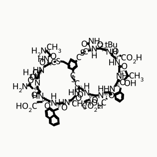 CC(CO)C[C@@H]1NC(=O)[C@H](Cc2ccccc2)NC(=O)[C@H](CC(=O)O)NC(=O)[C@H](CCC(=O)O)NC(=O)[C@H]2CSCc3cc(cc(c3)CSC[C@H](NC(=O)[C@H](C)N)C(=O)N[C@H](C)C(=O)N[C@@H](CC(N)=O)C(=O)N[C@@H](CCC(=O)O)C(=O)N[C@@H](Cc3cccc4ccccc34)C(=O)N[C@H](C)C(=O)N2)CSC[C@@H](C(N)=O)NC(=O)[C@H](C(C)(C)C)NC(=O)[C@H](CC(=O)O)NC1=O